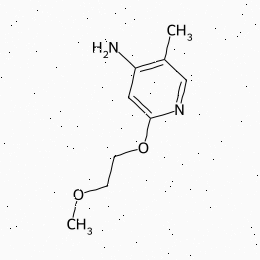 COCCOc1cc(N)c(C)cn1